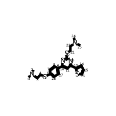 CN(C)CCSc1ccc(-c2cc(-c3cccs3)nc(SCCN(C)C)n2)cc1